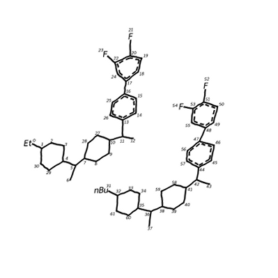 CCC1CCC(C(C)C2CCC(C(C)c3ccc(-c4ccc(F)c(F)c4)cc3)CC2)CC1.CCCCC1CCC(C(C)C2CCC(C(C)c3ccc(-c4ccc(F)c(F)c4)cc3)CC2)CC1